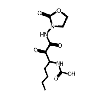 CCCCC(NC(=O)O)C(=O)C(=O)NN1CCOC1=O